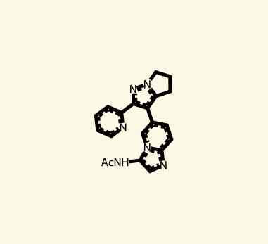 CC(=O)Nc1cnc2ccc(-c3c(-c4ccccn4)nn4c3CCC4)cn12